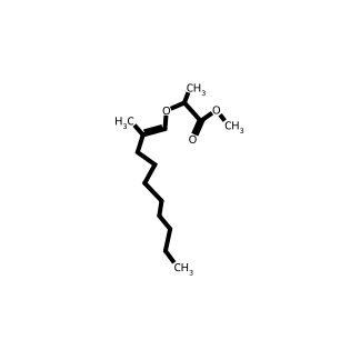 CCCCCCCCC(C)=COC(C)C(=O)OC